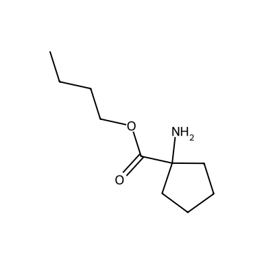 CCCCOC(=O)C1(N)CCCC1